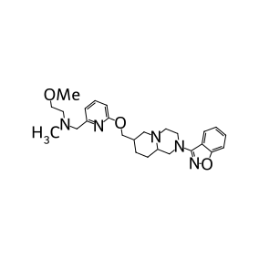 COCCN(C)Cc1cccc(OCC2CCC3CN(c4noc5ccccc45)CCN3C2)n1